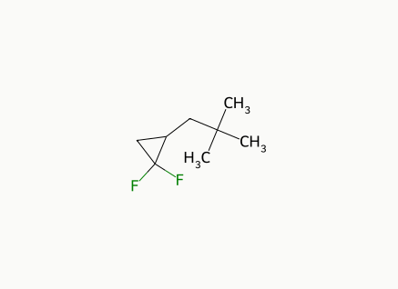 CC(C)(C)CC1CC1(F)F